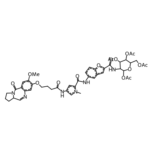 COc1cc2c(cc1OCCCC(=O)Nc1cc(C(=O)Nc3ccc4oc(C(=O)NC5C(OC(C)=O)OC(COC(C)=O)C(OC(C)=O)C5OC(C)=O)cc4c3)n(C)c1)N=CC1CCCN1C2=O